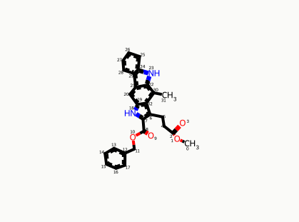 COC(=O)CCc1c(C(=O)OCc2ccccc2)[nH]c2cc3c([nH]c4ccccc43)c(C)c12